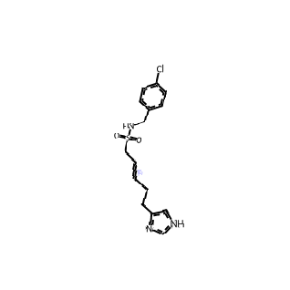 O=S(=O)(C/C=C/CCc1c[nH]cn1)NCc1ccc(Cl)cc1